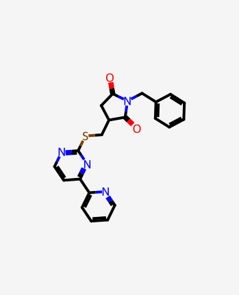 O=C1CC(CSc2nccc(-c3ccccn3)n2)C(=O)N1Cc1ccccc1